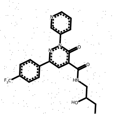 O=C(NCC(O)CF)c1cc(-c2ccc(C(F)(F)F)cc2)nn(-c2cccnc2)c1=O